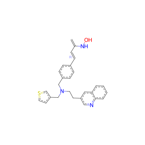 C=C(/C=C/c1ccc(CN(CCc2cnc3ccccc3c2)Cc2ccsc2)cc1)NO